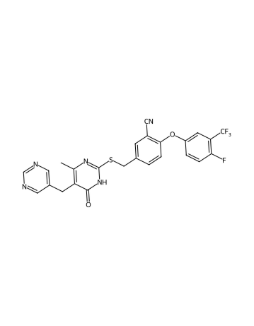 Cc1nc(SCc2ccc(Oc3ccc(F)c(C(F)(F)F)c3)c(C#N)c2)[nH]c(=O)c1Cc1cncnc1